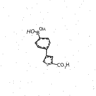 O=C(O)c1cc(-c2ccc(B(O)O)cc2)cs1